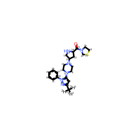 [2H]C([2H])([2H])c1cc(N2CCN(C3CNC(C(=O)N4CCSC4)C3)CC2)n(-c2ccccc2)n1